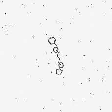 c1ccc(COCCCCOC2CCCC2)cc1